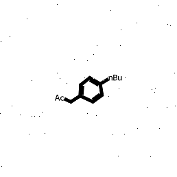 CCCCc1ccc(CC(C)=O)cc1